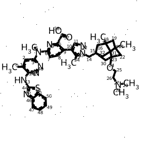 Cc1cc(N(C)c2ccc(-c3cnn(CC45CC6(C)C[C@]7(C)CC(OCCN(C)C)(C4)C67C5)c3C)c(C(=O)O)n2)nnc1Nc1nc2ccccc2s1